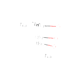 CC(C)(C)[O-].CC(C)(C)[O-].CC(C)(C)[O-].[Na+].[Na+].[Na+]